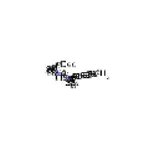 C=C=C=C=C=C=C=C=C=C=C=C[n+]1c(/C=C/C2=C(Cl)C(=C/C=C3\Sc4ccccc4N3CCCCCCCCCCCC)/CC2)sc2ccccc21